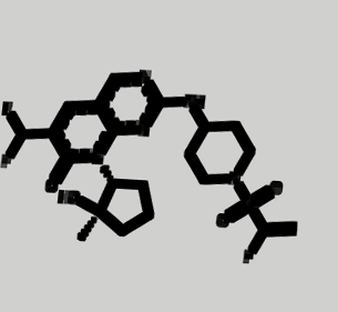 C=C(F)S(=O)(=O)N1CCC(Nc2ncc3cc(C(F)F)c(=O)n([C@@H]4CCC[C@@]4(C)O)c3n2)CC1